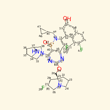 C#Cc1c(F)ccc2cc(O)cc(C3=C(F)c4nc(OC[C@@]56CCCN5C[C@H](F)C6)nc(N5CC6CCC(C5)N6)c4[S+]([O-])N3CC3CC3)c12